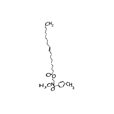 CCCCCCCCC=CCCCCCCCC(=O)OCCN(C)C(=O)c1ccc(C)cc1